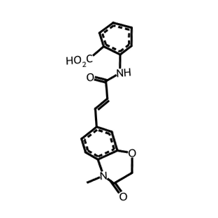 CN1C(=O)COc2cc(C=CC(=O)Nc3ccccc3C(=O)O)ccc21